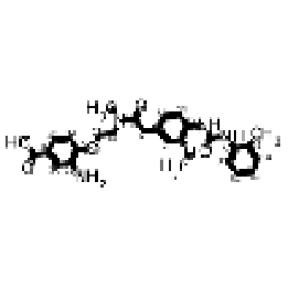 COc1cc(CC(=O)N(C)CCOc2ccc(C(=O)O)cc2N)ccc1NC(=O)Nc1ccccc1C